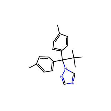 Cc1ccc(C(c2ccc(C)cc2)(n2cncn2)C(C)(C)C)cc1